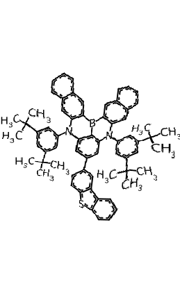 CC(C)(C)c1cc(N2c3cc4ccccc4cc3B3c4cc5ccccc5cc4N(c4cc(C(C)(C)C)cc(C(C)(C)C)c4)c4cc(-c5ccc6sc7ccccc7c6c5)cc2c43)cc(C(C)(C)C)c1